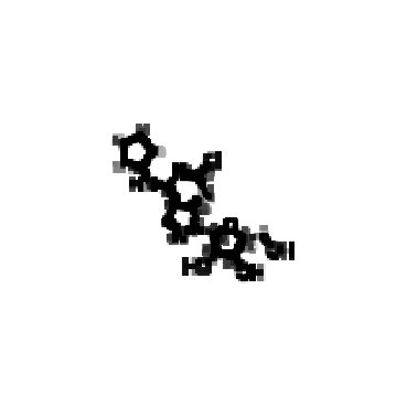 OC[C@H]1O[C@@H](n2ncc3c(NC4CCCC4)nc(Cl)nc32)[C@H](O)[C@@H]1O